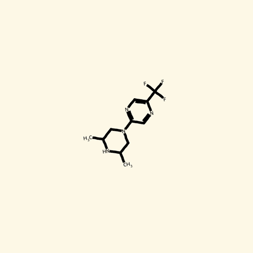 CC1CN(c2cnc(C(F)(F)F)cn2)CC(C)N1